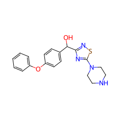 OC(c1ccc(Oc2ccccc2)cc1)c1nsc(N2CCNCC2)n1